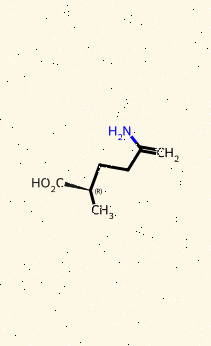 C=C(N)CC[C@@H](C)C(=O)O